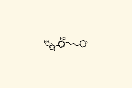 Cl.NCc1cnc(-c2ccc(CCCCN3CCOCC3)cc2)s1